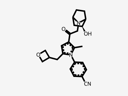 Cc1c(C(=O)CN2C3CCC2[C@@H](O)C3)cc(CC2COC2)n1-c1ccc(C#N)cc1